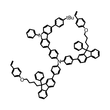 C=Cc1ccc(OCCCCC2(c3ccccc3)c3ccccc3-c3ccc(-c4ccc(N(c5ccc(-c6ccc7c(c6)C(CCCCOc6ccc(C=C)cc6)(c6ccccc6)c6ccccc6-7)cc5)c5ccc(-c6ccc7c(c6)c6cc(-c8ccc(C(C)(C)C)cc8)ccc6n7-c6ccccc6)cc5)cc4)cc32)cc1